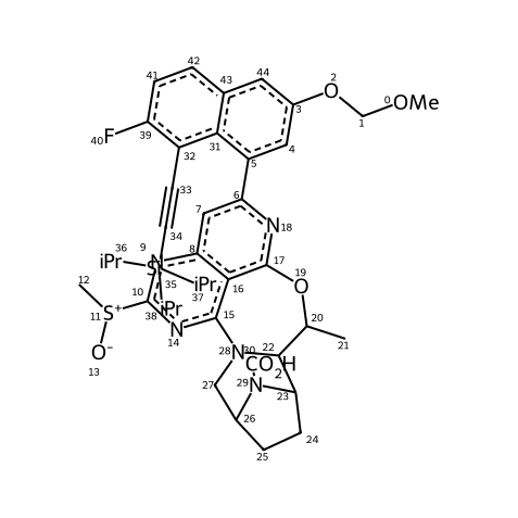 COCOc1cc(-c2cc3nc([S+](C)[O-])nc4c3c(n2)OC(C)C2C3CCC(CN42)N3C(=O)O)c2c(C#C[Si](C(C)C)(C(C)C)C(C)C)c(F)ccc2c1